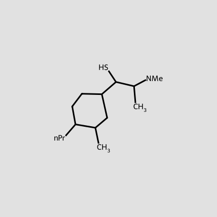 CCCC1CCC(C(S)C(C)NC)CC1C